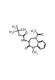 CC(=O)N1C[C@H](NC(=O)OC(C)(C)C)C(=O)N(C)c2ccccc21